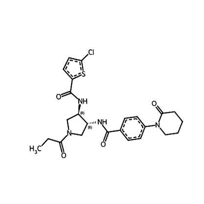 CCC(=O)N1C[C@@H](NC(=O)c2ccc(N3CCCCC3=O)cc2)[C@H](NC(=O)c2ccc(Cl)s2)C1